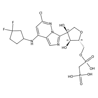 O=P(O)(O)CP(=O)(O)OC[C@H]1OC[C@@](O)(c2ncc3c(NC4CCC(F)(F)C4)cc(Cl)nn23)[C@@H]1O